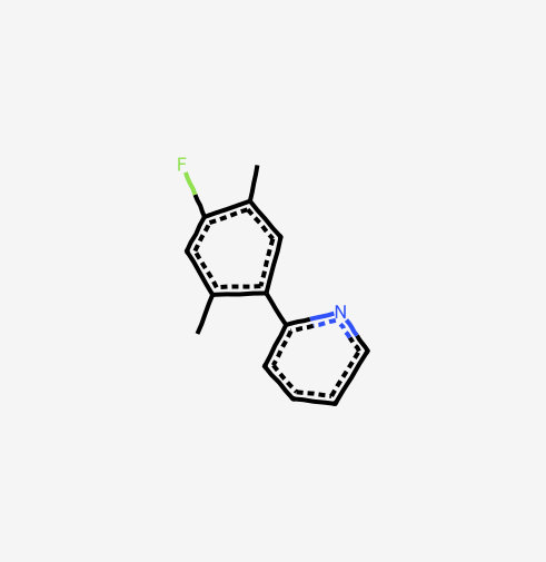 Cc1cc(-c2ccccn2)c(C)cc1F